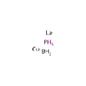 B.P.[Cu].[La]